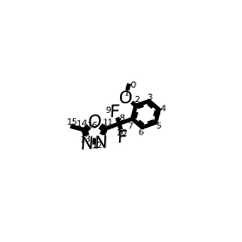 COc1ccccc1C(F)(F)c1nnc(C)o1